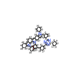 c1ccc(-c2nc(-c3ccccc3)nc(-c3cccc(-c4cccc(-n5c6cc7ccn(-c8ccccc8)c7cc6c6ccc7c8ccccc8n(-c8ccccc8)c7c65)c4)c3)n2)cc1